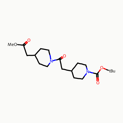 COC(=O)CC1CCN(C(=O)CC2CCN(C(=O)OC(C)(C)C)CC2)CC1